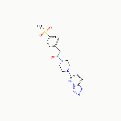 CS(=O)(=O)c1ccc(CC(=O)N2CCN(c3ccc4nncn4n3)CC2)cc1